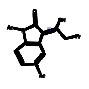 CC(=O)c1ccc2c(c1)/C(=C(/O)CC(C)C)C(=O)N2C(C)=O